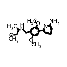 COCC(C)NCc1cc(OC)c(-c2cccc(N)n2)cc1OC